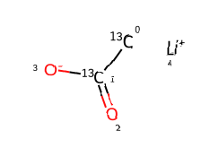 [13CH3][13C](=O)[O-].[Li+]